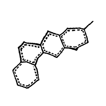 Cc1ccc2cc3c(ccc4ccccc43)cc2c1